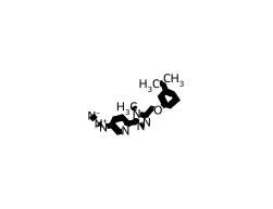 CC(C)c1cccc(OCc2nnc(-c3ccc(N=[N+]=[N-])cn3)n2C)c1